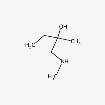 [CH2]CC(C)(O)CNC